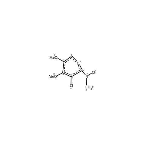 COc1ccc(N(Cl)C(=O)O)c(Cl)c1OC